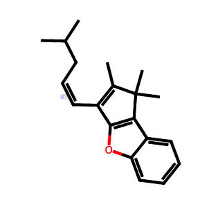 CC1=C(/C=C\CC(C)C)c2oc3ccccc3c2C1(C)C